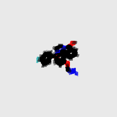 NCOc1cccc(C23c4ccccc4C(=O)N2CCN3C(=O)c2ccc(F)cc2)c1